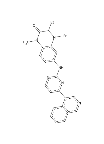 CCC1C(=O)N(C)c2ccc(Nc3nccc(-c4cncc5ccccc45)n3)cc2N1C(C)C